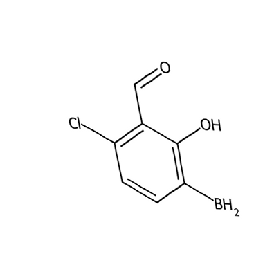 Bc1ccc(Cl)c(C=O)c1O